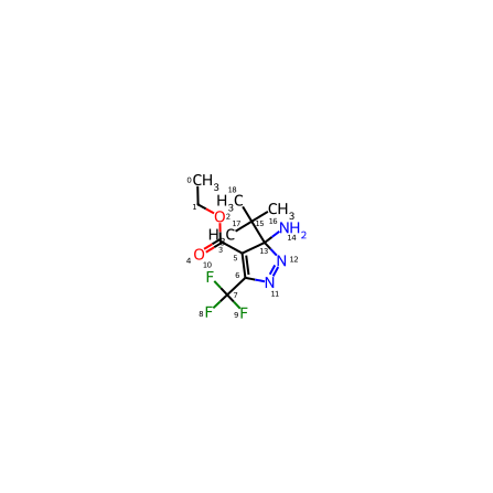 CCOC(=O)C1=C(C(F)(F)F)N=NC1(N)C(C)(C)C